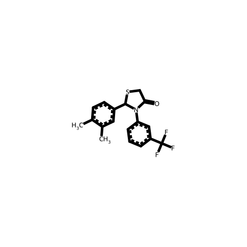 Cc1ccc(C2SCC(=O)N2c2cccc(C(F)(F)F)c2)cc1C